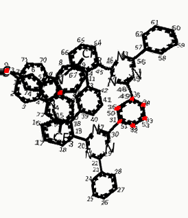 FC(F)(F)c1ccc2c(c1)c1cc(C(F)(F)F)ccc1n2-c1cccc(-c2nc(-c3ccccc3)nc(-c3ccccc3)n2)c1-c1cccc(-c2c(-c3nc(-c4ccccc4)nc(-c4ccccc4)n3)cccc2-n2c3ccc(C(F)(F)F)cc3c3cc(C(F)(F)F)ccc32)c1